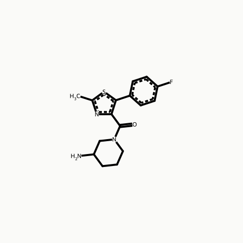 Cc1nc(C(=O)N2CCCC(N)C2)c(-c2ccc(F)cc2)s1